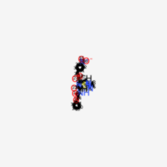 C[C@@]1(Cn2ccnn2)S[C@@H]2[C@H](NC(=O)COc3ccccc3)C(=O)N2[C@H]1C(=O)OCc1ccc([N+](=O)[O-])cc1